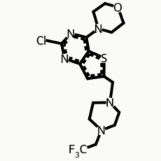 FC(F)(F)CN1CCN(Cc2cc3nc(Cl)nc(N4CCOCC4)c3s2)CC1